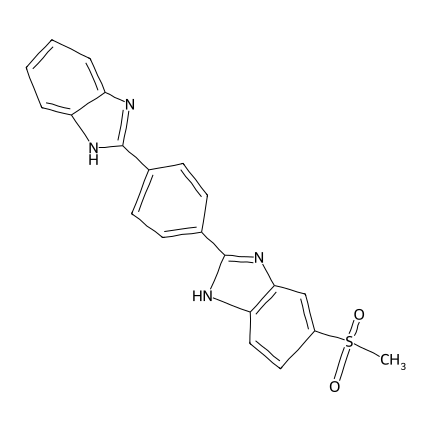 CS(=O)(=O)c1ccc2[nH]c(-c3ccc(-c4nc5ccccc5[nH]4)cc3)nc2c1